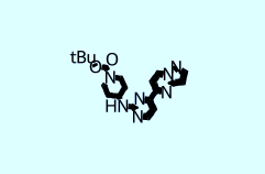 CC(C)(C)OC(=O)N1CCC(Nc2nccc(-c3ccn4nccc4n3)n2)CC1